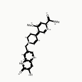 CCc1cc2ncc(CN3C=CC(=C4C=NC(C(=O)NC)C=C4OC)CC3)cc2[nH]c1=O